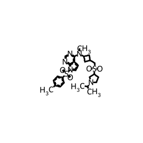 Cc1ccc(S(=O)(=O)n2ccc3c(N(C)C4CC(CS(=O)(=O)C5CCN(C(C)C)C5)C4)ncnc32)cc1